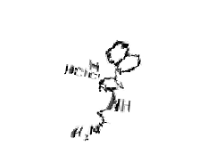 Cl.Cl.NCCNc1nccc(N2CCCc3ccccc32)n1